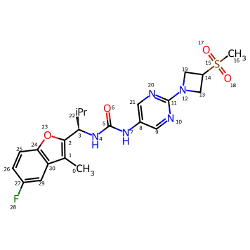 Cc1c([C@H](NC(=O)Nc2cnc(N3CC(S(C)(=O)=O)C3)nc2)C(C)C)oc2ccc(F)cc12